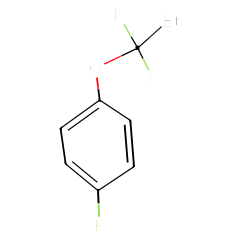 [CH2]CC(F)(F)Oc1ccc(F)cc1